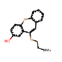 CNCCSC1=Cc2ccccc2Sc2ccc(O)cc21